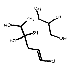 CC(O)C(O)(S)C/C=C/Cl.OCC(O)CO